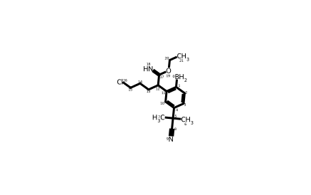 Bc1ccc(C(C)(C)C#N)cc1C(CCCCl)C(=N)OCC